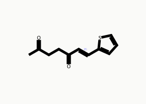 CC(=O)CCC(=O)/C=C/c1cccs1